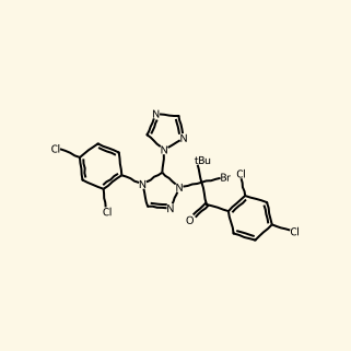 CC(C)(C)C(Br)(C(=O)c1ccc(Cl)cc1Cl)N1N=CN(c2ccc(Cl)cc2Cl)C1n1cncn1